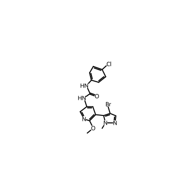 COc1ncc(NC(=O)Nc2ccc(Cl)cc2)cc1-c1c(Br)cnn1C